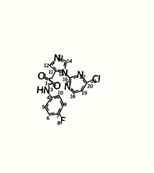 O=S(=O)(Nc1ccc(F)cc1)c1cncn1-c1nccc(Cl)n1